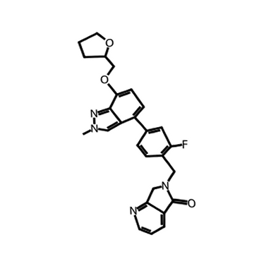 Cn1cc2c(-c3ccc(CN4Cc5ncccc5C4=O)c(F)c3)ccc(OCC3CCCO3)c2n1